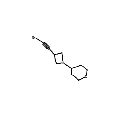 BrC#CC1CN(C2CCOCC2)C1